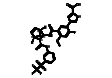 COc1cc(F)c(-c2c[nH]c(C(=O)O)c2)cc1C(=O)N[C@H]1[C@@H](C(=O)Nc2cccc(S(=O)(=O)C(F)(F)F)c2)[C@@H]2C=C[C@H]1C2